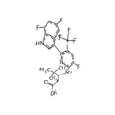 CC(C)(C)[C@H](CC(=O)O)Nc1nc(-c2c[nH]c3c(F)cc(F)cc23)c(C(F)(F)F)cc1F